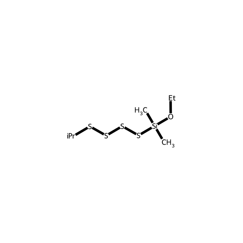 CCO[Si](C)(C)SSSSC(C)C